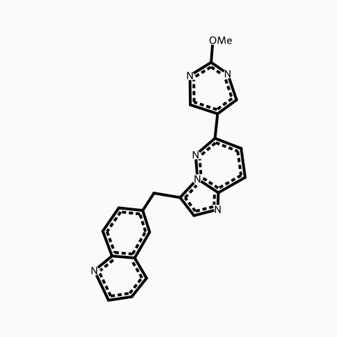 COc1ncc(-c2ccc3ncc(Cc4ccc5ncccc5c4)n3n2)cn1